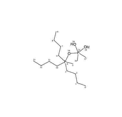 CCCCP(C)(CCCC)(CCCC)OP(C)(C)(O)O